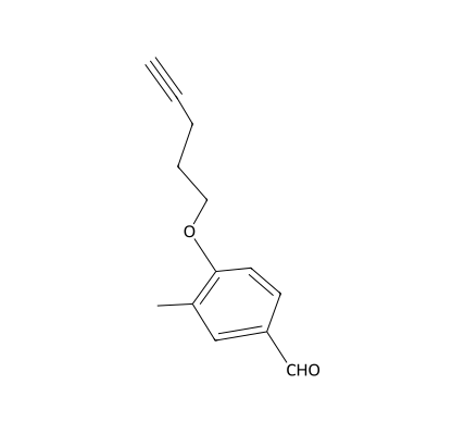 C#CCCCOc1ccc(C=O)cc1C